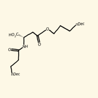 CCCCCCCCCCCCCOC(=O)C[C@H](NC(=O)CCCCCCCCCCCC)C(=O)O